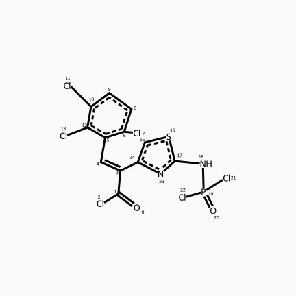 O=C(Cl)C(=Cc1c(Cl)ccc(Cl)c1Cl)c1csc(NP(=O)(Cl)Cl)n1